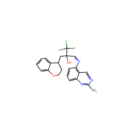 Cc1ncc2c(/N=C\C(O)(CC3CCOc4ccccc43)C(F)(F)F)cccc2n1